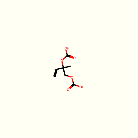 C=CC(C)(COC(=O)O)OC(=O)O